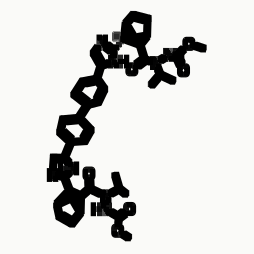 COC(=O)NN(C(=O)C1C2C=CC(C2)C1c1ncc(-c2ccc(-c3ccc(-c4cnc([C@@H]5C6C=CC(C6)C5C(=O)N(NC(=O)OC)C(C)C)[nH]4)cc3)cc2)[nH]1)C(C)C